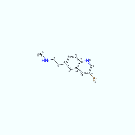 CC(C)NCCc1ccc2ncc(Br)cc2c1